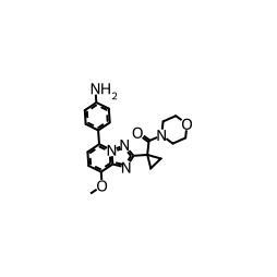 COc1ccc(-c2ccc(N)cc2)n2nc(C3(C(=O)N4CCOCC4)CC3)nc12